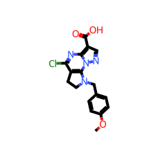 COc1ccc(CN2CCc3c(Cl)nc4c(C(=O)O)cnn4c32)cc1